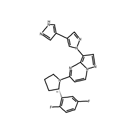 Fc1ccc(F)c([C@@H]2CCCN2c2ccn3ncc(-n4cc(-c5cn[nH]c5)cn4)c3n2)c1